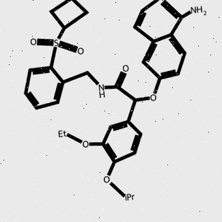 CCOc1cc(C(Oc2ccc3c(N)nccc3c2)C(=O)NCc2ccccc2S(=O)(=O)C2CCC2)ccc1OC(C)C